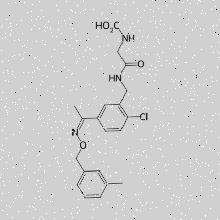 CC(=NOCc1cccc(C)c1)c1ccc(Cl)c(CNC(=O)CNC(=O)O)c1